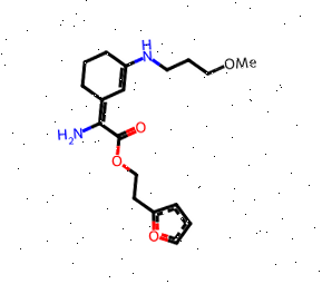 COCCCNC1=C/C(=C(/N)C(=O)OCCc2ccco2)CCC1